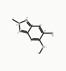 COc1cc2nn(C)nc2cc1Br